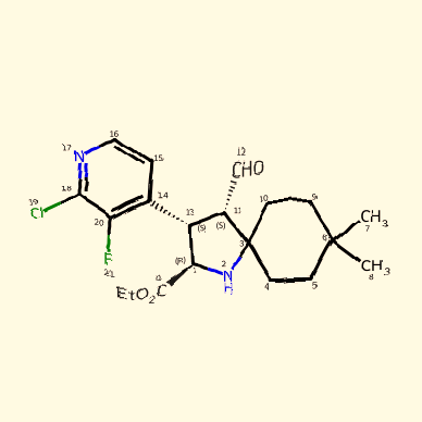 CCOC(=O)[C@@H]1NC2(CCC(C)(C)CC2)[C@@H](C=O)[C@H]1c1ccnc(Cl)c1F